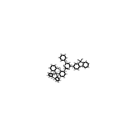 CC1(C)c2ccccc2-c2ccc(-c3cc(-c4ccccc4)nc(-c4cccc5c4Oc4ccccc4C54c5ccccc5-c5ccccc54)n3)cc21